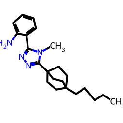 CCCCCC12CCC(c3nnc(-c4ccccc4N)n3C)(CC1)CC2